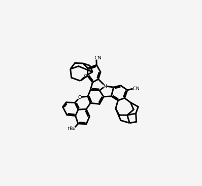 CC(C)(C)c1ccc2c3cc4c5c6c(c(C#N)cc5n5c7cc(C#N)c8c(c7c(c3oc3cccc1c32)c45)C1CC2CC(CC8C2)C1)C1CC2CC3CC6CC23C1